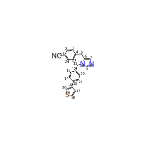 N#Cc1ccc(Cc2cncn2Cc2ccc(-c3ccsc3)cc2)cc1